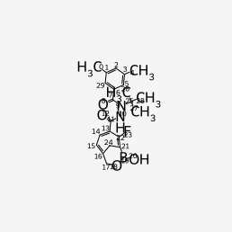 Cc1cc(C)cc(C(=O)N(NC(=O)C2=CC=C3COB(O)C(=C2F)C3)C(C)(C)C)c1